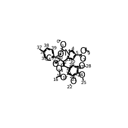 COCn1cc(C(=O)OC)cc1/C(=C(/OC(C)=O)c1cc(OC)c(OC)c(OC)c1)S(=O)(=O)c1ccc(C)cc1